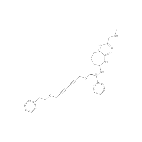 CNCC(=O)N[C@H]1CCSC(N[C@H](COCC#CC#CCOCCc2ccccc2)c2ccccc2)NC1=O